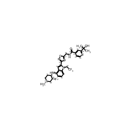 CN1CC[C@@H](Nc2cccc3c2cc(-c2noc(CNC(=O)c4ccnc(C(C)(C)O)c4)n2)n3CC(F)(F)F)[C@@H](F)C1